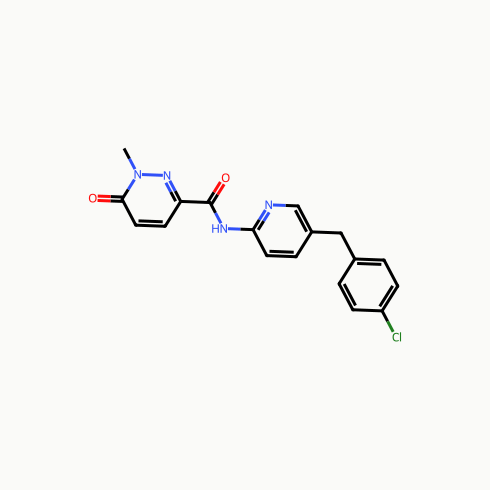 Cn1nc(C(=O)Nc2ccc(Cc3ccc(Cl)cc3)cn2)ccc1=O